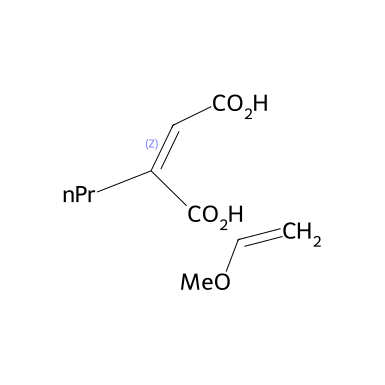 C=COC.CCC/C(=C/C(=O)O)C(=O)O